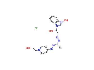 CCC(N=NCC(O)[n+]1cn(O)c2ccccc21)=NN=c1ccn(CCO)cc1.[Cl-]